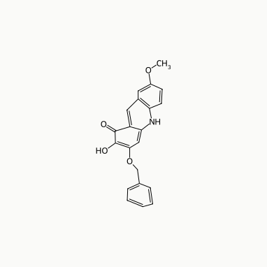 COc1ccc2[nH]c3cc(OCc4ccccc4)c(O)c(=O)c-3cc2c1